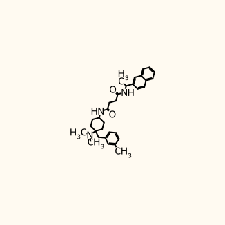 Cc1cccc(CC2(N(C)C)CCC(NC(=O)CCC(=O)NC(C)c3ccc4ccccc4c3)CC2)c1